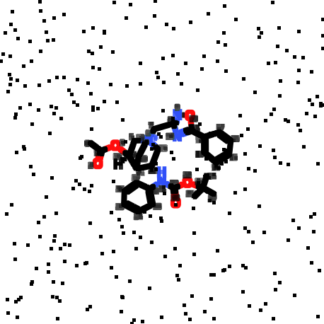 CC(=O)O[C@H]1C[N+]2(Cc3noc(-c4ccccc4)n3)CCC1CC2.CC(C)(C)OC(=O)Nc1ccccc1